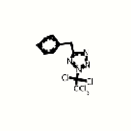 ClC(Cl)(Cl)C(Cl)(Cl)n1nnc(Cc2ccccc2)n1